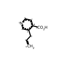 C=CCc1cnccc1C(=O)O